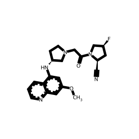 COc1cc(N[C@@H]2CCN(CC(=O)N3C[C@@H](F)C[C@H]3C#N)C2)c2cccnc2c1